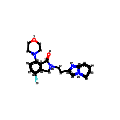 O=C1c2c(N3CCOCC3)ccc(F)c2CN1CCc1cn2ccccc2n1